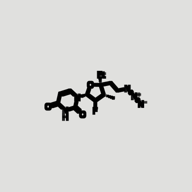 CC[C@@]1(CCN=[N+]=[N-])O[C@@H](n2ccc(=O)[nH]c2=O)C(F)[C@H]1C